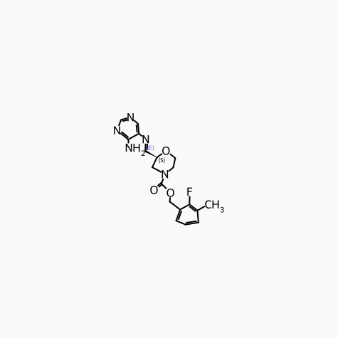 Cc1cccc(COC(=O)N2CCO[C@H](/C=N/c3cncnc3N)C2)c1F